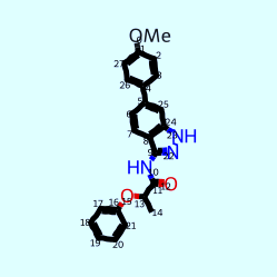 COc1ccc(-c2ccc3c(NC(=O)C(C)Oc4ccccc4)n[nH]c3c2)cc1